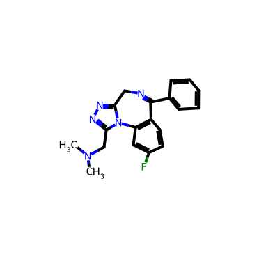 CN(C)Cc1nnc2n1-c1cc(F)ccc1C(c1ccccc1)=NC2